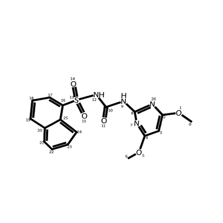 COc1cc(OC)nc(NC(=O)NS(=O)(=O)c2cccc3ccccc23)n1